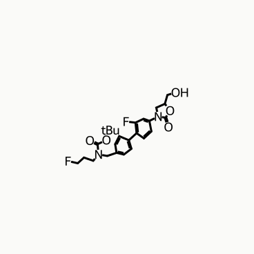 CC(C)(C)OC(=O)N(CCCF)Cc1ccc(-c2ccc(N3CC(CO)OC3=O)cc2F)cc1